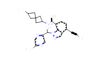 C=C(NC1CC2(CC(C)C2)C1)c1ccc(C#CC)c2cnn(C(C)c3cnc(C(F)(F)F)cn3)c12